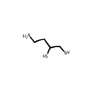 NCCC(S)CS